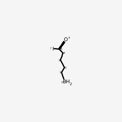 BCCCCC(=O)I